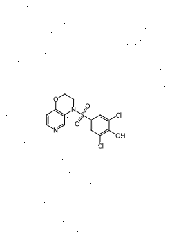 O=S(=O)(c1cc(Cl)c(O)c(Cl)c1)N1CCOc2ccncc21